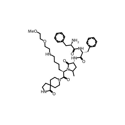 COCCOCCNCCCC[C@H](C(=O)N1CCC2(CCNC2=O)CC1)N1C(=O)[C@H](NC(=O)[C@@H](Cc2ccccc2)NC(=O)[C@H](N)Cc2ccccc2)CC1C